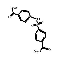 COC(=O)c1ccc(NS(=O)(=O)c2ccc(C(=O)OC)cc2)cc1